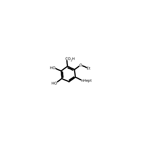 CCCCCCCc1cc(O)c(O)c(C(=O)O)c1OCC